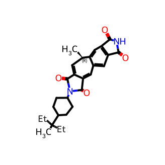 CCC(C)(CC)C1CCC(N2C(=O)C3=Cc4cc5c(cc4[C@H](C)C=C3C2=O)C(=O)NC5=O)CC1